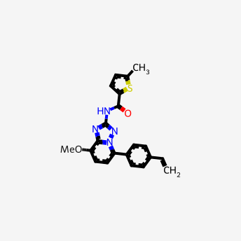 C=Cc1ccc(-c2ccc(OC)c3nc(NC(=O)c4ccc(C)s4)nn23)cc1